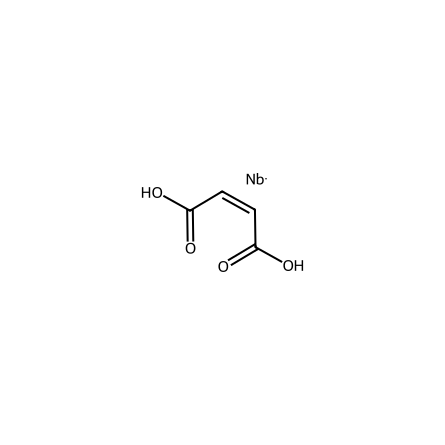 O=C(O)/C=C\C(=O)O.[Nb]